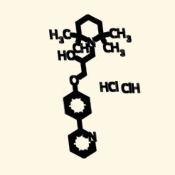 CC1(C)CCCC(C)(C)N1CC(O)COc1ccc(-c2ccccn2)cc1.Cl.Cl